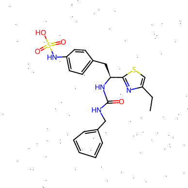 CCc1csc([C@H](Cc2ccc(NS(=O)(=O)O)cc2)NC(=O)NCc2ccccc2)n1